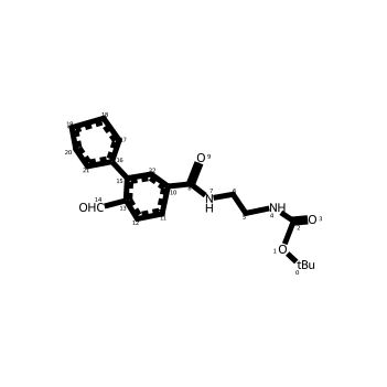 CC(C)(C)OC(=O)NCCNC(=O)c1ccc(C=O)c(-c2cc[c]cc2)c1